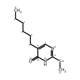 CCCCCCc1cnc(SC)[nH]c1=O